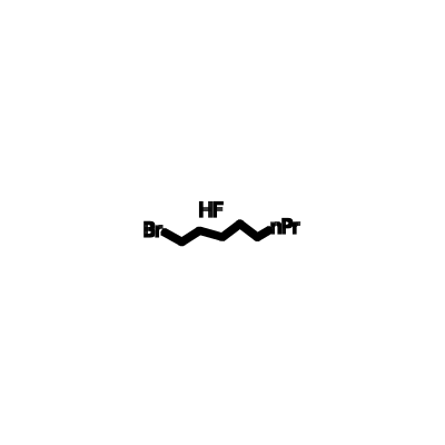 CCCCCCCCBr.F